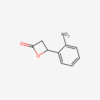 O=C1CC(c2ccccc2[N+](=O)[O-])O1